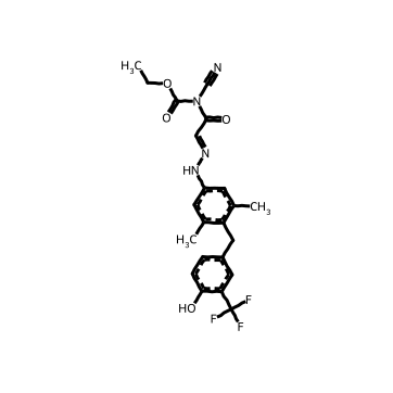 CCOC(=O)N(C#N)C(=O)C=NNc1cc(C)c(Cc2ccc(O)c(C(F)(F)F)c2)c(C)c1